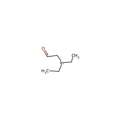 C[CH2][In]([CH2]C)[CH2]C=O